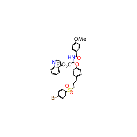 CCOC(=O)C(NC(=O)c1ccc(OC)cc1)Oc1ccc(CCCS(=O)(=O)c2ccc(Br)cc2)cc1.c1ccc2ncccc2c1